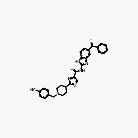 N#Cc1ccc(CN2CCC(c3nc(C(=O)Nc4nc5cc(C(=O)c6ccccc6)ccc5[nH]4)cs3)CC2)cc1